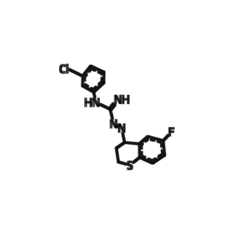 N=C(N=NC1CCSc2ccc(F)cc21)Nc1cccc(Cl)c1